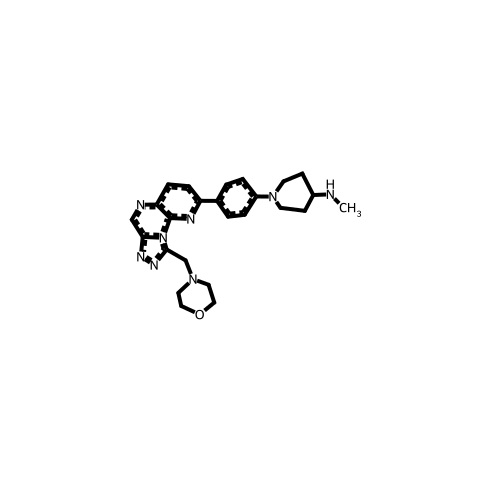 CNC1CCN(c2ccc(-c3ccc4ncc5nnc(CN6CCOCC6)n5c4n3)cc2)CC1